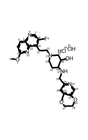 COc1ccc2ncc(F)c(CCN3CCC(NCc4cc5c(cn4)OCCO5)C(O)C3)c2n1.Cl.Cl